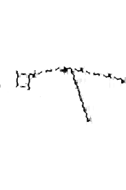 CCN(CC)CCCNC(=O)CCOCCOCCNC(=O)CCN(CCC(=O)NCCOCCOCCC(=O)NCCCN(CC)CC)Cc1cn(CCOCCOCCNC(=O)CN2CCN(CC(=O)O)CCN(CC(=O)O)CCN(CC(=O)O)CC2)nn1